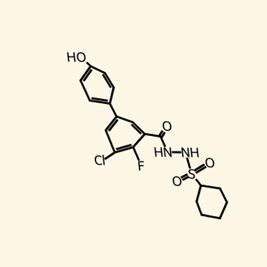 O=C(NNS(=O)(=O)C1CCCCC1)c1cc(-c2ccc(O)cc2)cc(Cl)c1F